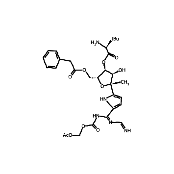 CC(=O)OCOC(=O)N/C(=N/C=N)c1ccc([C@]2(C)O[C@H](COC(=O)Cc3ccccc3)[C@@H](OC(=O)[C@@H](N)C(C)(C)C)[C@H]2O)[nH]1